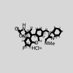 CNCc1nc2ccccc2n1Cc1ccc2c(c1)COc1cc(F)ccc1C2=C(C)c1noc(=O)[nH]1.Cl